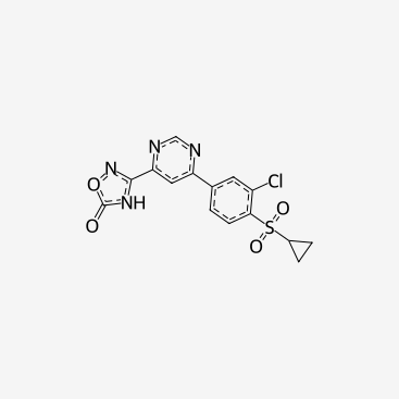 O=c1[nH]c(-c2cc(-c3ccc(S(=O)(=O)C4CC4)c(Cl)c3)ncn2)no1